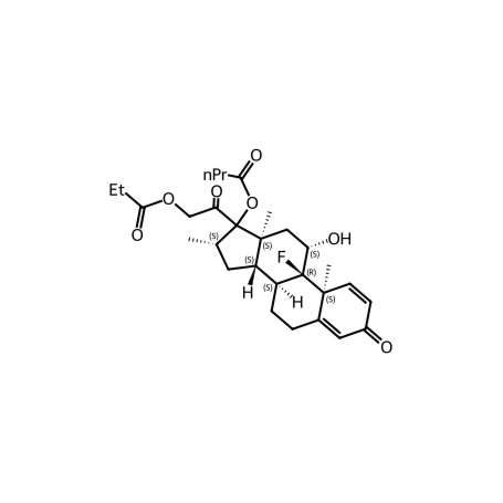 CCCC(=O)OC1(C(=O)COC(=O)CC)[C@@H](C)C[C@H]2[C@@H]3CCC4=CC(=O)C=C[C@]4(C)[C@@]3(F)[C@@H](O)C[C@@]21C